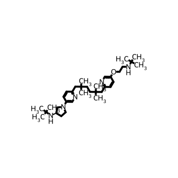 CC(C)(CCC(C)(C)Cc1ccc(N2CC[C@@H](NC(C)(C)C)C2)cn1)Cc1ccc(OCCNC(C)(C)C)cn1